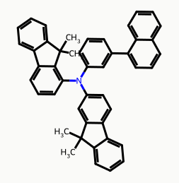 CC1(C)c2ccccc2-c2ccc(N(c3cccc(-c4cccc5ccccc45)c3)c3cccc4c3C(C)(C)c3ccccc3-4)cc21